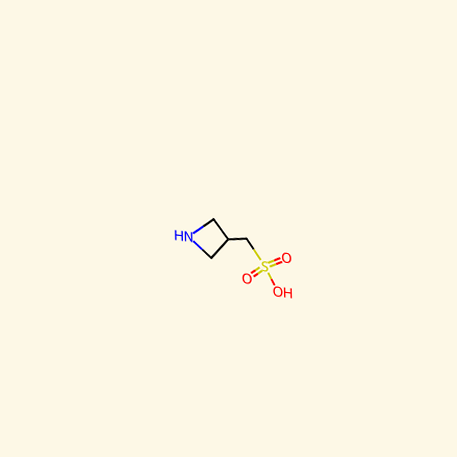 O=S(=O)(O)CC1CNC1